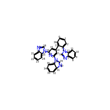 c1ccc(-n2cnc3ccccc32)c(-c2cc(-n3cnc4ccccc43)nc(-n3cnc4ccccc43)c2)c1